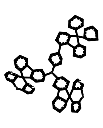 c1ccc(C2(c3ccccc3)c3ccccc3-c3c(-c4ccc(N(c5ccc6c(c5)-c5ccccc5C65c6ccccc6Sc6ccccc65)c5ccc6c(c5)-c5ccccc5C65c6ccccc6Sc6ccccc65)cc4)cccc32)cc1